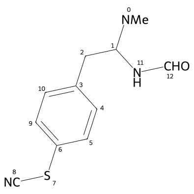 CNC(Cc1ccc(SC#N)cc1)NC=O